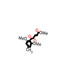 COC(=O)/C=C/C(=O)C(=O)c1c(OC)cc(C)cc1OC